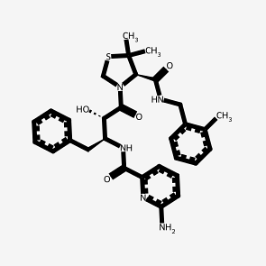 Cc1ccccc1CNC(=O)[C@H]1N(C(=O)[C@@H](O)[C@H](Cc2ccccc2)NC(=O)c2cccc(N)n2)CSC1(C)C